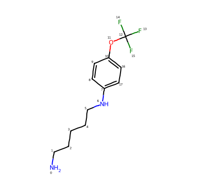 NCCCCCNc1ccc(OC(F)(F)F)cc1